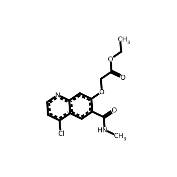 CCOC(=O)COc1cc2nccc(Cl)c2cc1C(=O)NC